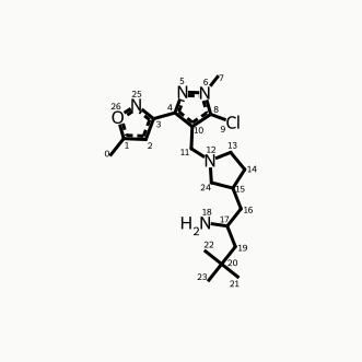 Cc1cc(-c2nn(C)c(Cl)c2CN2CCC(CC(N)CC(C)(C)C)C2)no1